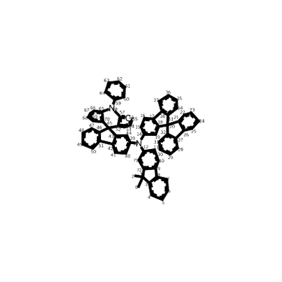 CC1(C)c2ccccc2-c2ccc(N(c3ccc4c(c3)C3(c5ccccc5-c5ccccc53)c3ccccc3-4)c3ccc4c(c3)C3(c5ccccc5-4)c4ccccc4N(c4ccccc4)c4ccccc43)cc21